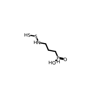 O=[PH](O)CCCNSS